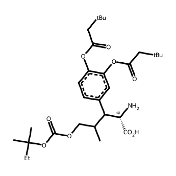 CCC(C)(C)OC(=O)OCC(C)C(c1ccc(OC(=O)CC(C)(C)C)c(OC(=O)CC(C)(C)C)c1)[C@H](N)C(=O)O